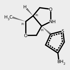 Bc1csc([C@]23CO[C@H](C)[C@H]2CON3)c1